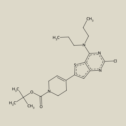 CCCN(CCC)c1nc(Cl)nc2cc(C3=CCN(C(=O)OC(C)(C)C)CC3)sc12